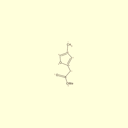 COC(=O)Cc1cc(C)co1